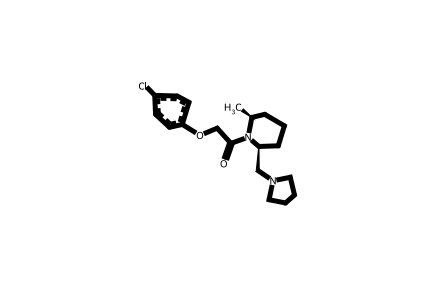 C[C@H]1CCC[C@@H](CN2CCCC2)N1C(=O)COc1ccc(Cl)cc1